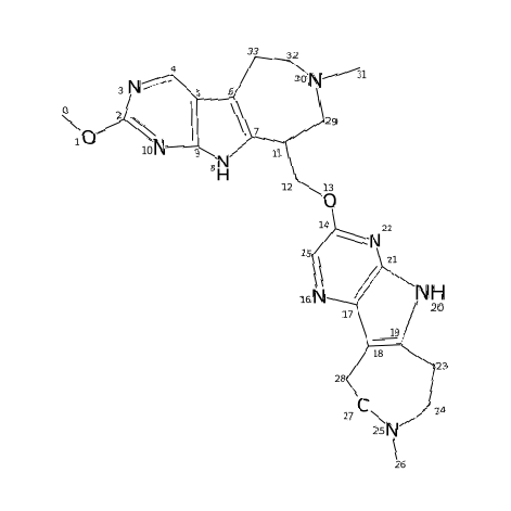 COc1ncc2c3c([nH]c2n1)C(COc1cnc2c4c([nH]c2n1)CCN(C)CC4)CN(C)CC3